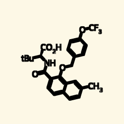 Cc1ccc2ccc(C(=O)N[C@H](C(=O)O)C(C)(C)C)c(OCc3ccc(OC(F)(F)F)cc3)c2c1